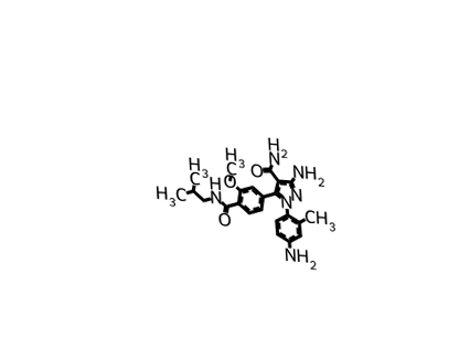 COc1cc(-c2c(C(N)=O)c(N)nn2-c2ccc(N)cc2C)ccc1C(=O)NCC(C)C